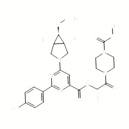 CCCCOC(=O)N1CCN(C(=O)[C@@H](NC(=O)c2cc(N3C[C@@H]4[C@H](C3)[C@@H]4OC(=O)O)nc(-c3ccc(C)cc3)n2)C(C)C)CC1